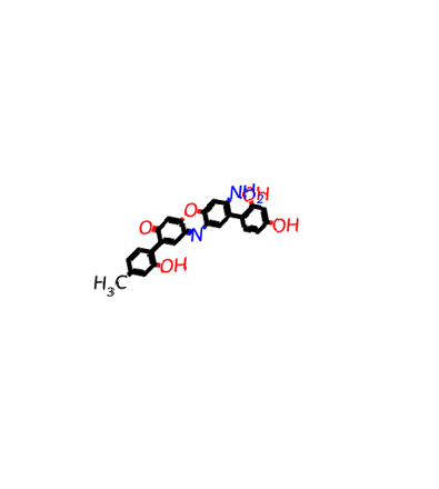 Cc1ccc(-c2cc3nc4cc(-c5ccc(O)cc5O)c(N)cc4oc-3cc2=O)c(O)c1